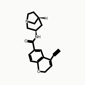 C#CC1=CCOc2ccc(C(=O)N[C@@H]3C[C@H]4CCN(C4)C3)cc21